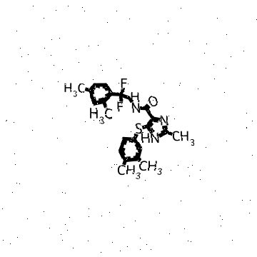 Cc1ccc(C(F)(F)CNC(=O)c2nc(C)[nH]c2Sc2ccc(C)c(C)c2)c(C)c1